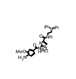 COc1cc(C(=O)Nc2nc(C(=O)NCCN(C(C)C)C(C)C)cs2)ccc1N.Cl.Cl